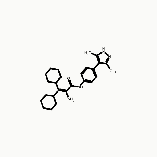 Cc1n[nH]c(C)c1-c1ccc(NC(=O)C(N)=C(C2CCCCC2)C2CCCCC2)cc1